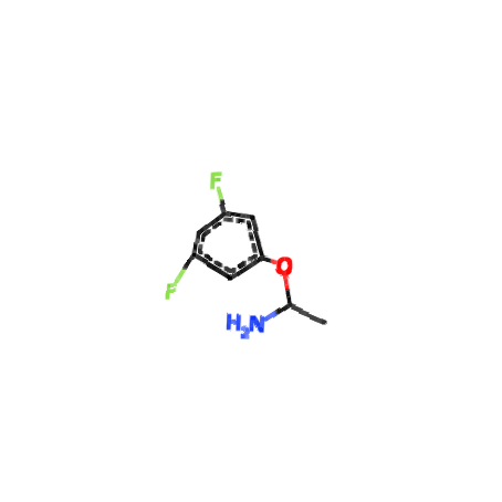 CC(N)Oc1cc(F)cc(F)c1